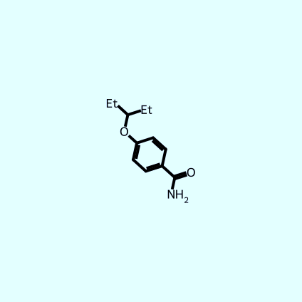 CCC(CC)Oc1ccc(C(N)=O)cc1